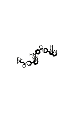 O=C(CCC(F)(F)F)N1CC=C(c2cccn3nc(Nc4ccc(C(=O)N5CCC(c6cc7cccnc7[nH]6)CC5)cc4)nc23)CC1